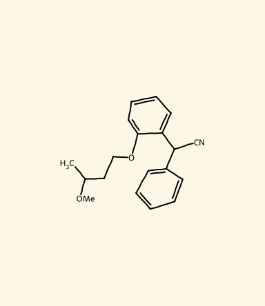 COC(C)CCOc1ccccc1C(C#N)c1ccccc1